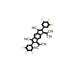 N#CC(C#N)=C1C(c2cc(F)c(F)c(F)c2)=C(C#N)c2cc3c(cc21)C(=C(C#N)C#N)C(c1cc(F)c(F)c(F)c1)=C3C#N